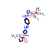 CC(=O)N1CCC[C@@]1(C=O)CNc1ccc(/N=N/c2ccc(NC(=O)[C@@H]3CCCN3C(=O)OC(C)(C)C)cc2)cc1